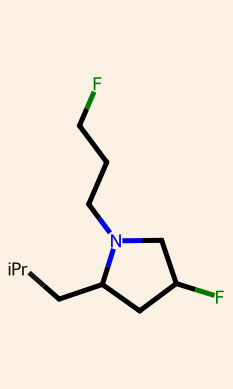 CC(C)CC1CC(F)CN1CCCF